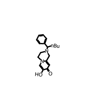 CCCCC(c1ccccc1)N1CCn2cc(O)c(=O)cc2C1